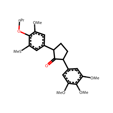 CCCOc1c(OC)cc(C2CCC(c3cc(OC)c(OC)c(OC)c3)C2=O)cc1SC